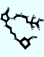 CCCCCCc1cccc(OCC/C=C/[C@H]2CCC(=O)[C@@H]2CC=C=CCC(O)(O)C(=O)OC)c1